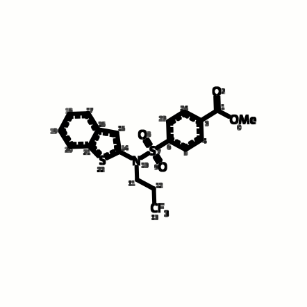 COC(=O)c1ccc(S(=O)(=O)N(CCC(F)(F)F)c2cc3ccccc3s2)cc1